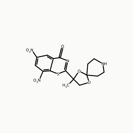 CC1(c2nc(=O)c3cc([N+](=O)[O-])cc([N+](=O)[O-])c3s2)COC2(CCNCC2)O1